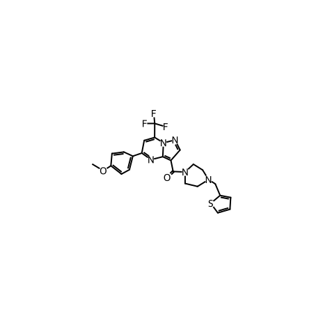 COc1ccc(-c2cc(C(F)(F)F)n3ncc(C(=O)N4CCN(Cc5cccs5)CC4)c3n2)cc1